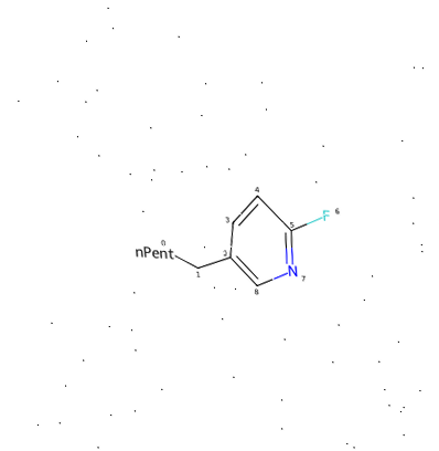 CCCCCCc1ccc(F)nc1